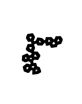 c1ccc(N(c2ccc(-c3ccc4c(ccc5ccccc54)c3)cc2)c2cccc(-c3cccc4c3c3ccccc3n4-c3cc4ccccc4c4ccccc34)c2)cc1